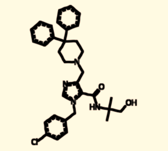 CC(C)(CO)NC(=O)c1c(CN2CCC(c3ccccc3)(c3ccccc3)CC2)ncn1Cc1ccc(Cl)cc1